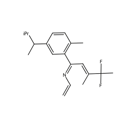 C=C/N=C(\C=C(/C)C(C)(F)F)c1cc(C(C)C(C)C)ccc1C